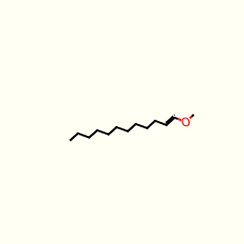 CCCCCCCCCCC=[C]OC